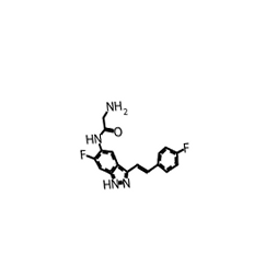 NCC(=O)Nc1cc2c(C=Cc3ccc(F)cc3)n[nH]c2cc1F